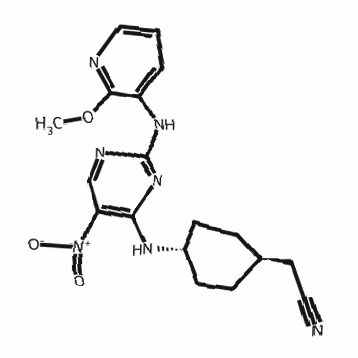 COc1ncccc1Nc1ncc([N+](=O)[O-])c(N[C@H]2CC[C@H](CC#N)CC2)n1